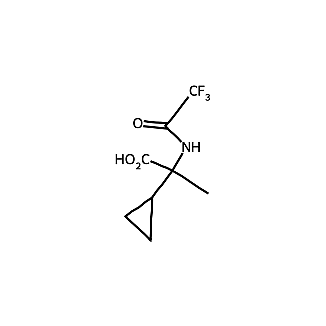 CC(NC(=O)C(F)(F)F)(C(=O)O)C1CC1